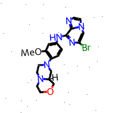 COc1cc(Nc2nc(Br)cn3ccnc23)ccc1N1CCN2CCOC[C@@H]2C1